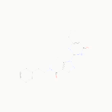 CCc1cc(=O)[nH]c(-n2ncc(C(=O)NCCc3ccccc3)c2C)n1